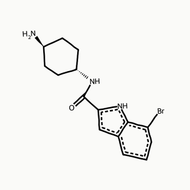 N[C@H]1CC[C@H](NC(=O)c2cc3cccc(Br)c3[nH]2)CC1